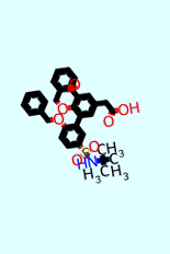 CC(C)(C)NS(=O)(=O)c1ccc(OCc2ccccc2)c(-c2cc(CC(=O)O)cc(C=O)c2OCc2ccccc2)c1